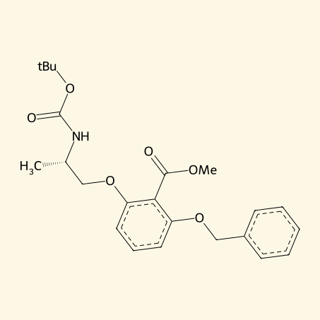 COC(=O)c1c(OCc2ccccc2)cccc1OC[C@H](C)NC(=O)OC(C)(C)C